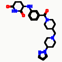 O=C1CCC(Nc2cccc(C(=O)N3CCC(CN4CCC(n5cccn5)CC4)CC3)c2)C(=O)N1